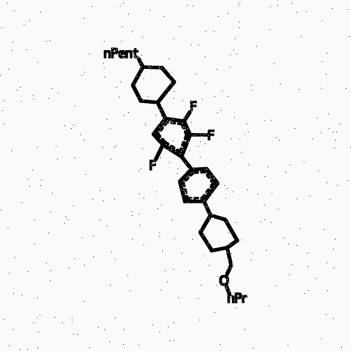 CCCCCC1CCC(c2cc(F)c(-c3ccc(C4CCC(COCCC)CC4)cc3)c(F)c2F)CC1